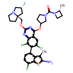 N#Cc1c(N)sc2c(F)ccc(-c3c(Cl)cc4c(OC5CCN(C(=O)N6CC[C@H]6C#N)C5)nc(OC[C@@]56CCCN5C[C@H](F)C6)nc4c3F)c12